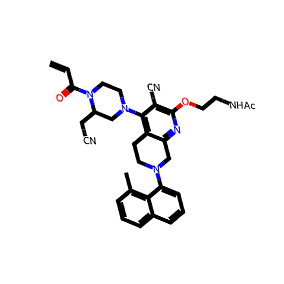 C=CC(=O)N1CCN(c2c(C#N)c(OCCNC(C)=O)nc3c2CCN(c2cccc4cccc(C)c24)C3)CC1CC#N